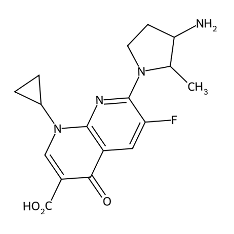 CC1C(N)CCN1c1nc2c(cc1F)c(=O)c(C(=O)O)cn2C1CC1